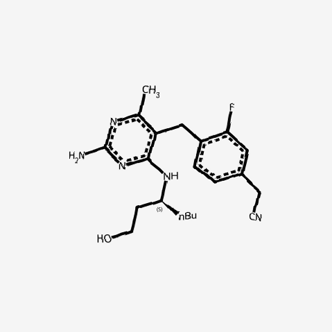 CCCC[C@@H](CCO)Nc1nc(N)nc(C)c1Cc1ccc(CC#N)cc1F